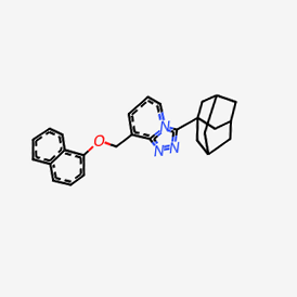 c1ccc2c(OCc3cccn4c(C56CC7CC(CC(C7)C5)C6)nnc34)cccc2c1